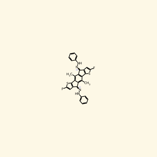 Cc1c2/c(=N/Nc3ccccc3)c3cc(F)sc3c2c(C)c2/c(=N/Nc3ccccc3)c3cc(F)sc3c12